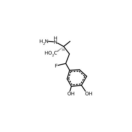 C[C@@](CC(F)c1ccc(O)c(O)c1)(NN)C(=O)O